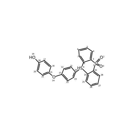 O=S1(=O)c2ccccc2[SH](c2ccc(Oc3ccc(O)cc3)cc2)c2ccccc21